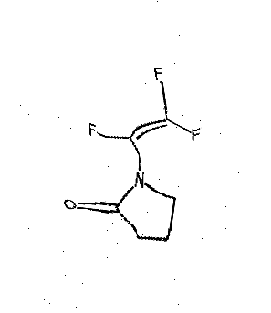 O=C1CCCN1C(F)=C(F)F